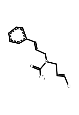 O=C(N(CC=CCl)CC=Cc1ccccc1)C(F)(F)F